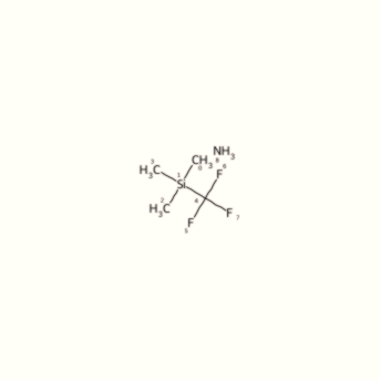 C[Si](C)(C)C(F)(F)F.N